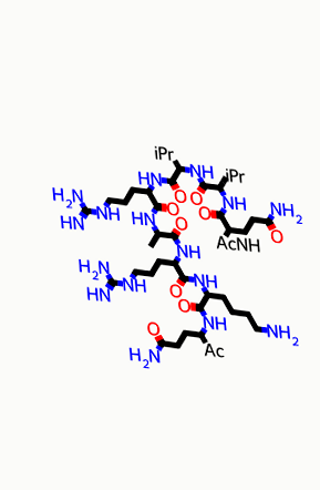 CC(=O)NC(CCC(N)=O)C(=O)NC(C(=O)NC(C(=O)NC(CCCNC(=N)N)C(=O)NC(C)C(=O)NC(CCCNC(=N)N)C(=O)NC(CCCCN)C(=O)NC(CCC(N)=O)C(C)=O)C(C)C)C(C)C